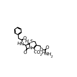 NC(=O)OCC1=C(C(=O)O)N2C(=O)C(NC(=O)Cc3ccccc3)[C@H]2SC1